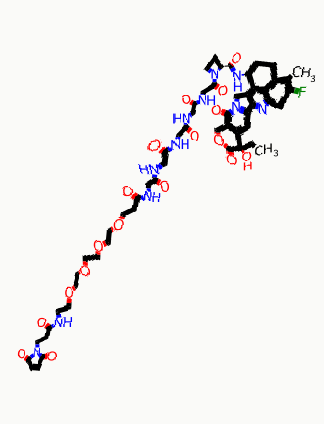 CC[C@]1(O)C(=O)OCc2c1cc1n(c2=O)Cc2c-1nc1cc(F)c(C)c3c1c2[C@H](NC(=O)[C@H]1CCN1C(=O)CNC(=O)CNC(=O)CNC(=O)CNC(=O)CNC(=O)CCOCCOCCOCCOCCNC(=O)CCN1C(=O)C=CC1=O)CC3